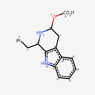 CC(C)CC1NC(OC(=O)O)Cc2c1[nH]c1ccccc21